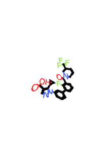 O=C(O)c1cnn(-c2cccc(-c3cccc(C(=O)N4CCCC(C(F)(F)F)C4)c3F)c2)c1C1CC1